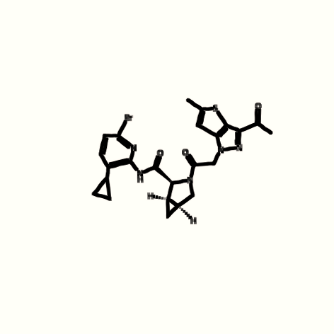 CC(=O)c1nn(CC(=O)N2C[C@H]3C[C@H]3[C@H]2C(=O)Nc2nc(Br)ccc2C2CC2)c2cc(C)sc12